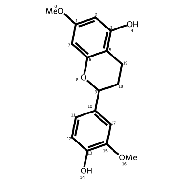 COc1cc(O)c2c(c1)OC(c1ccc(O)c(OC)c1)CC2